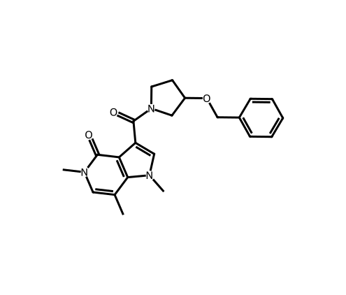 Cc1cn(C)c(=O)c2c(C(=O)N3CCC(OCc4ccccc4)C3)cn(C)c12